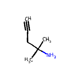 C#CCC(C)(C)N